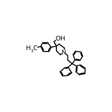 Cc1ccc(C2(CO)CCN(CCC(c3ccccc3)(c3ccccc3)c3ccccc3)CC2)cc1